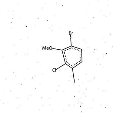 COc1c(Br)ccc(I)c1Cl